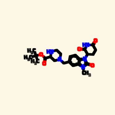 Cn1c(=O)n(C2CCC(=O)NC2=O)c2ccc(CN3CCNC(C(=O)OC(C)(C)C)C3)cc21